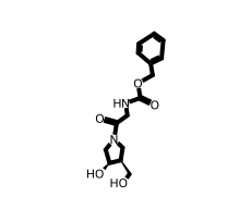 O=C(NCC(=O)N1C[C@@H](CO)[C@@H](O)C1)OCc1ccccc1